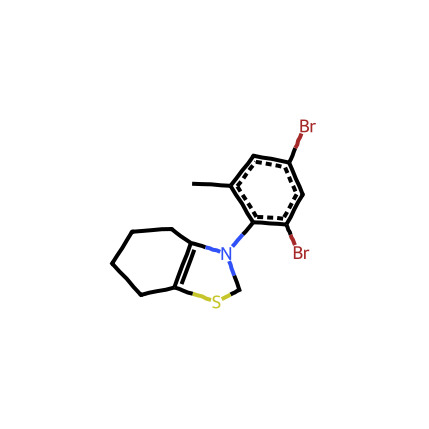 Cc1cc(Br)cc(Br)c1N1CSC2=C1CCCC2